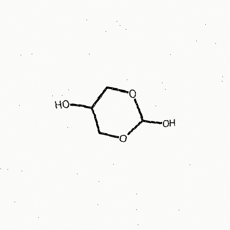 OC1COC(O)OC1